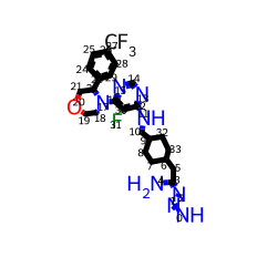 N=N/N=C(\N)CC1CCC(CNc2ncnc(N3CCOCC3c3ccc(C(F)(F)F)cc3)c2F)CC1